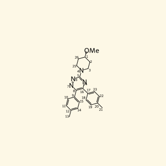 COC1CCN(c2nnc(-c3ccc(C)cc3)c(-c3ccc(C)cc3)n2)CC1